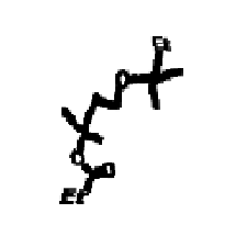 CCC(=O)OC(C)(C)CCOC(C)(C)CC